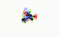 C[C@H]1C2[C@H]1c1c(C(F)(F)F)nn(CC(=O)N[C@@H](Cc3cc(F)cc(F)c3)c3nc(C#CC(C)(C)S(C)(=O)=O)ccc3-c3ccc(Cl)c4c(NS(C)(=O)=O)nn(CC(F)(F)F)c34)c1C2(F)F